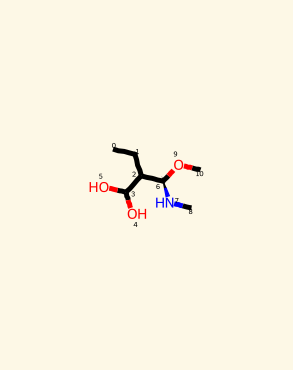 CCC(C(O)O)[C@H](NC)OC